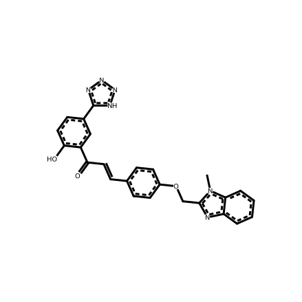 Cn1c(COc2ccc(/C=C/C(=O)c3cc(-c4nnn[nH]4)ccc3O)cc2)nc2ccccc21